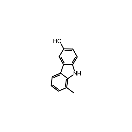 Cc1cccc2c1[nH]c1ccc(O)cc12